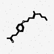 CCCC/C(C)=C/CCOc1ccc(CCC(C)=O)cc1